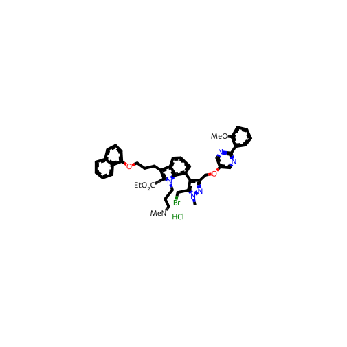 CCOC(=O)c1c(CCCOc2cccc3ccccc23)c2cccc(-c3c(COc4cnc(-c5ccccc5OC)nc4)nn(C)c3CBr)c2n1CCCNC.Cl